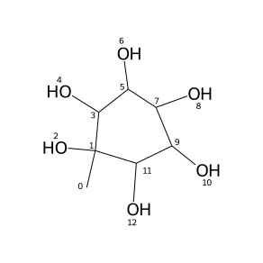 CC1(O)C(O)C(O)C(O)C(O)C1O